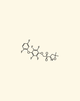 CC1(C)CC(S(=O)(=O)COc2c(F)c(F)c(Oc3cc(F)ccc3F)c(F)c2F)=NO1